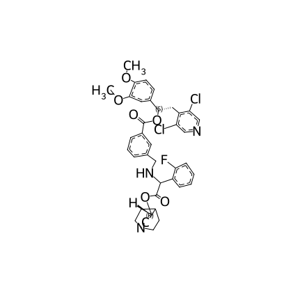 COc1ccc([C@H](Cc2c(Cl)cncc2Cl)OC(=O)c2cccc(CNC(C(=O)O[C@H]3CN4CCC3CC4)c3ccccc3F)c2)cc1OC